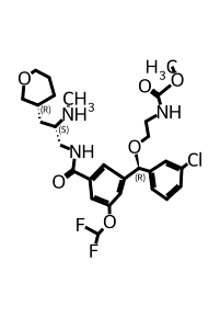 CN[C@H](CNC(=O)c1cc(OC(F)F)cc([C@@H](OCCNC(=O)OC)c2cccc(Cl)c2)c1)C[C@H]1CCCOC1